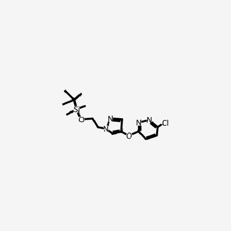 CC(C)(C)[Si](C)(C)OCCn1cc(Oc2ccc(Cl)nn2)cn1